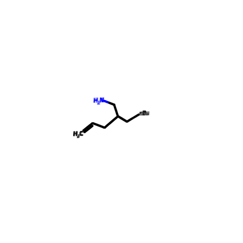 C=CCC(CN)CCCCC